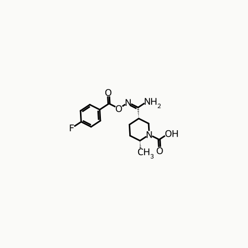 C[C@@H]1CC[C@H](/C(N)=N\OC(=O)c2ccc(F)cc2)CN1C(=O)O